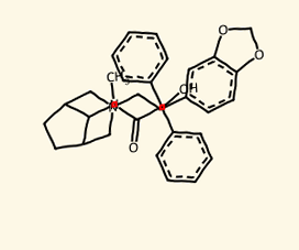 CN(C(=O)C(O)(c1ccccc1)c1ccccc1)C1C2CCC1CN(CCc1ccc3c(c1)OCO3)C2